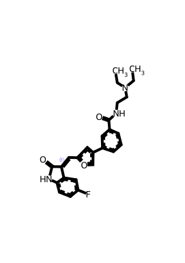 CCN(CC)CCNC(=O)c1cccc(-c2coc(/C=C3/C(=O)Nc4ccc(F)cc43)c2)c1